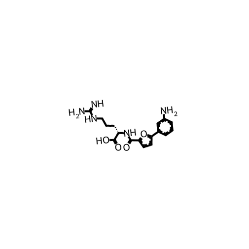 N=C(N)NCCC[C@H](NC(=O)c1ccc(-c2cccc(N)c2)o1)C(=O)O